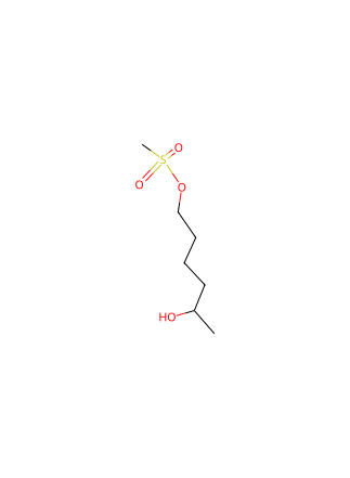 CC(O)CCCCOS(C)(=O)=O